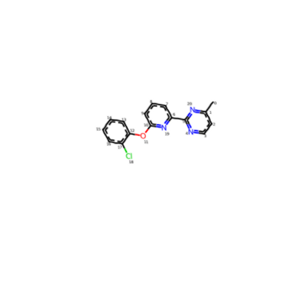 Cc1ccnc(-c2cccc(Oc3ccccc3Cl)n2)n1